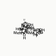 CN[C@@H]1[C@H](O)[C@H](NC)[C@H]2O[C@]3(O)[C@H](O[C@@H]2[C@H]1O)O[C@H](C)C[C@@]3(O)CNCCc1ccc(F)c(OP(=O)(O)O)c1